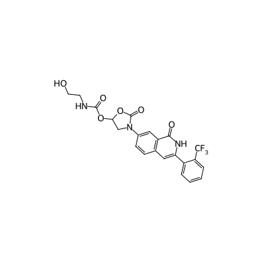 O=C(NCCO)OC1CN(c2ccc3cc(-c4ccccc4C(F)(F)F)[nH]c(=O)c3c2)C(=O)O1